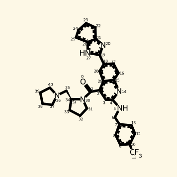 O=C(c1cc(NCc2ccc(C(F)(F)F)cc2)nc2ccc(-c3nc4ccccc4[nH]3)cc12)N1CCC[C@H]1CN1CCCC1